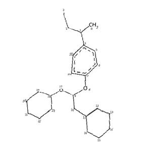 CC(CI)c1ccc(OC(CC2CCCCC2)OC2CCCCC2)cc1